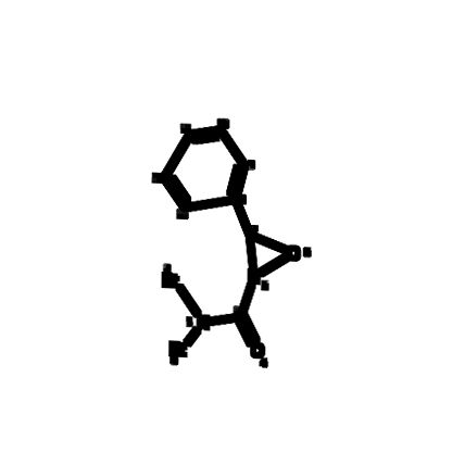 CCN(CC)C(=O)N1OC1c1ccccc1